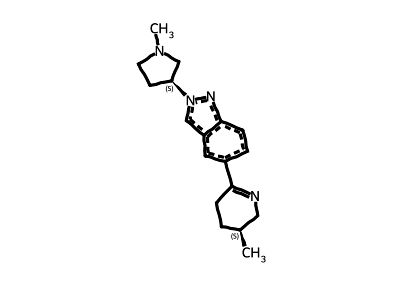 C[C@H]1CCC(c2ccc3nn([C@H]4CCN(C)C4)cc3c2)=NC1